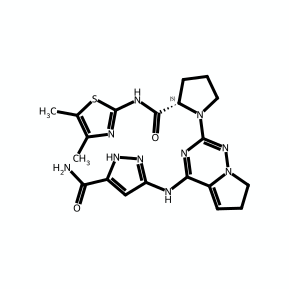 Cc1nc(NC(=O)[C@@H]2CCCN2C2=NN3CCC=C3C(Nc3cc(C(N)=O)[nH]n3)=N2)sc1C